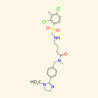 Cc1c(Cl)ccc(S(=O)(=O)CNCCCC(=O)N(C)Cc2ccc(C3=NCCN3C(=O)O)cc2)c1Cl